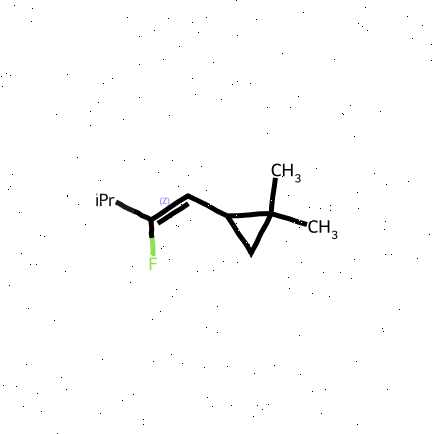 CC(C)/C(F)=C/C1[CH]C1(C)C